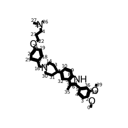 COc1ccc(-c2[nH]c3ccc(C4CCN(Cc5ccc(OCCCN(C)C)cc5)CC4)cc3c2C)cc1OC